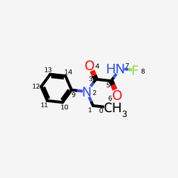 CCN(C(=O)C(=O)NF)c1ccccc1